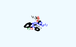 CC(Nc1nc(N)ncc1S(C)(=O)=O)c1nc2cccc(Cl)c2c(=O)n1-c1ccccc1